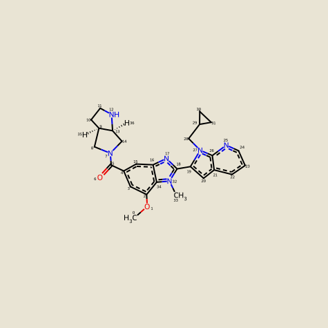 COc1cc(C(=O)N2C[C@H]3CCN[C@H]3C2)cc2nc(-c3cc4cccnc4n3CC3CC3)n(C)c12